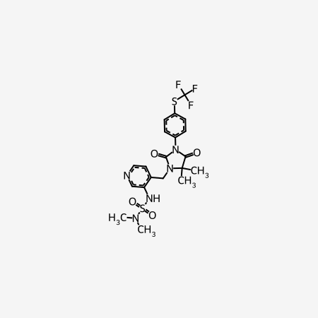 CN(C)S(=O)(=O)Nc1cnccc1CN1C(=O)N(c2ccc(SC(F)(F)F)cc2)C(=O)C1(C)C